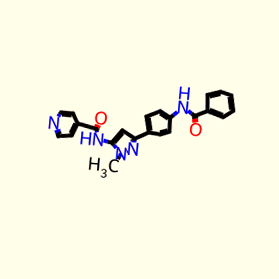 Cn1nc(-c2ccc(NC(=O)c3ccccc3)cc2)cc1NC(=O)c1ccncc1